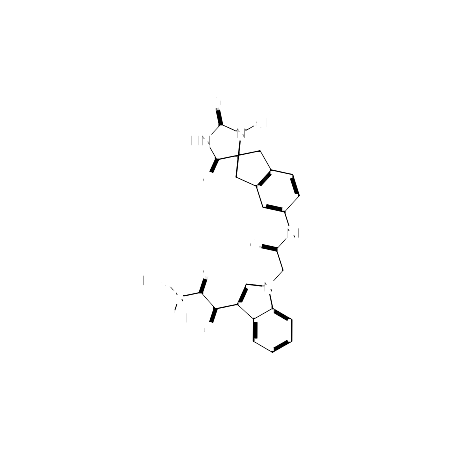 CN(C)C(=O)C(=O)c1cn(CC(=O)Nc2ccc3c(c2)CC2(C3)C(=O)NC(=O)N2C)c2ccccc12